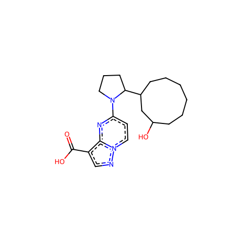 O=C(O)c1cnn2ccc(N3CCCC3C3CCCCCCC(O)C3)nc12